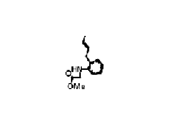 C/C=C/Cc1ccccc1NCC(=O)OC